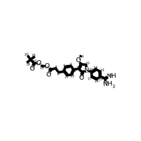 COC1=C(c2ccc(CCC(=O)OCOC(=O)C(C)(C)C)cc2)C(=O)N(c2ccc(C(=N)N)cc2)C1